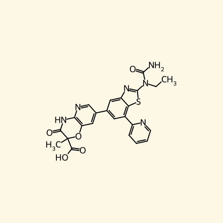 CCN(C(N)=O)c1nc2cc(-c3cnc4c(c3)OC(C)(C(=O)O)C(=O)N4)cc(-c3ccccn3)c2s1